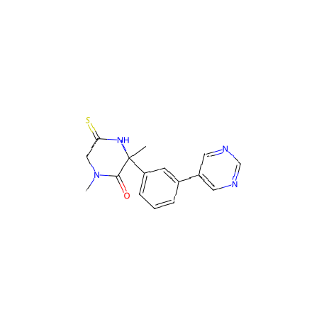 CN1CC(=S)NC(C)(c2cccc(-c3cncnc3)c2)C1=O